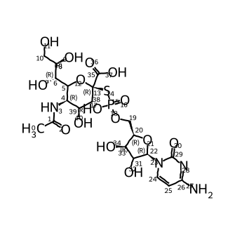 CC(=O)N[C@H]1C([C@H](O)[C@H](O)CO)O[C@](SP(=O)(O)OC[C@H]2O[C@@H](n3ccc(N)nc3=O)C(O)[C@H]2O)(C(=O)O)C[C@H]1O